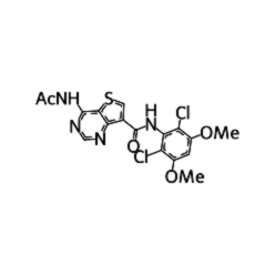 COc1cc(OC)c(Cl)c(NC(=O)c2csc3c(NC(C)=O)ncnc23)c1Cl